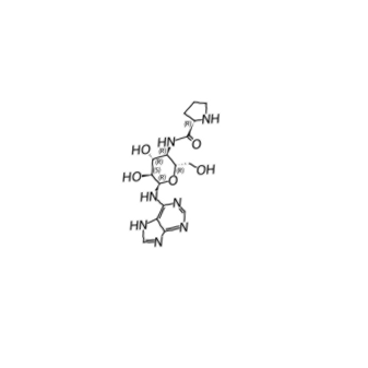 O=C(N[C@@H]1[C@@H](O)[C@H](O)[C@H](Nc2ncnc3nc[nH]c23)O[C@H]1CO)[C@H]1CCCN1